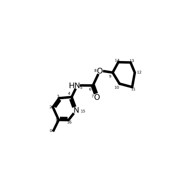 Cc1ccc(NC(=O)OC2CCCCC2)nc1